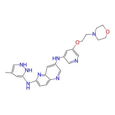 CC1=CNNC(Nc2ccc3ncc(Nc4cncc(OCCN5CCOCC5)c4)cc3n2)=C1